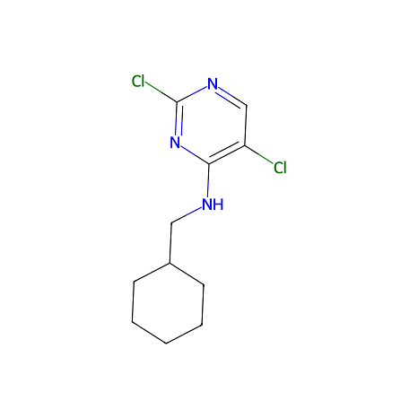 Clc1ncc(Cl)c(NCC2CCCCC2)n1